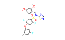 COc1ccc(CN(c2ncns2)S(=O)(=O)c2cc(F)c(Oc3cc(C)cc(F)c3)cc2F)c(OC)c1